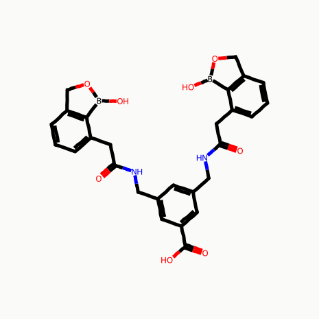 O=C(Cc1cccc2c1B(O)OC2)NCc1cc(CNC(=O)Cc2cccc3c2B(O)OC3)cc(C(=O)O)c1